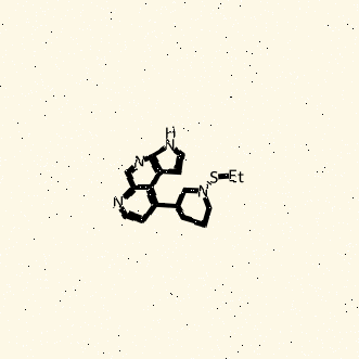 CCSN1CCCC(c2ccnc3cnc4[nH]ccc4c23)C1